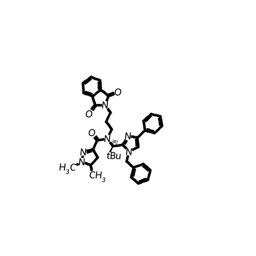 CC1CC(C(=O)N(CCCN2C(=O)c3ccccc3C2=O)[C@@H](c2nc(-c3ccccc3)cn2Cc2ccccc2)C(C)(C)C)=NN1C